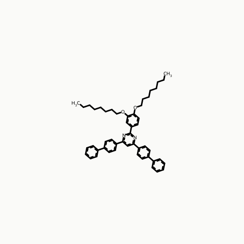 CCCCCCCCOc1ccc(-c2nc(-c3ccc(-c4ccccc4)cc3)cc(-c3ccc(-c4ccccc4)cc3)n2)cc1OCCCCCCCC